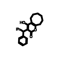 CC(C)C(c1ccccc1)c1c(O)c2c(oc1=O)CCCCCC2